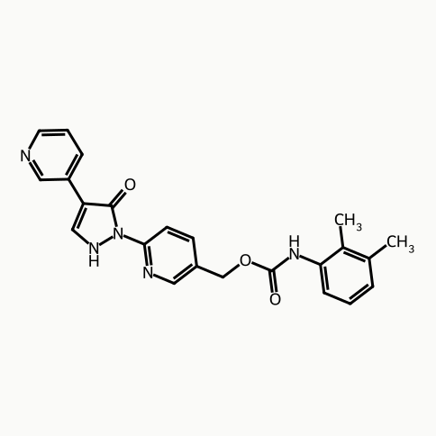 Cc1cccc(NC(=O)OCc2ccc(-n3[nH]cc(-c4cccnc4)c3=O)nc2)c1C